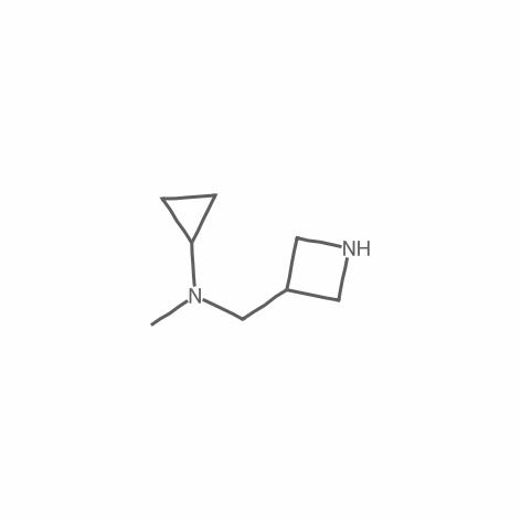 CN(CC1CNC1)C1CC1